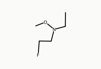 CCN(CCF)OC